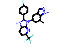 Cc1cc(N2c3nc(C(F)(F)F)ccc3NC2c2ccc(F)cc2)cc2cn[nH]c12